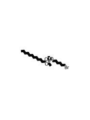 CCCCCCCCCCCC(OCC)O[Si](C)(C)OCCCCCCBr